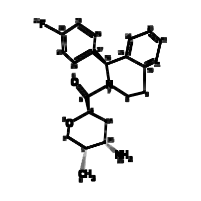 C[C@@H]1CO[C@@H](C(=O)N2CCc3ccccc3[C@@H]2c2ccc(F)cc2)C[C@@H]1N